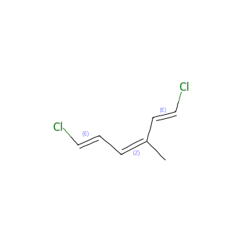 CC(=C/C=C/Cl)/C=C/Cl